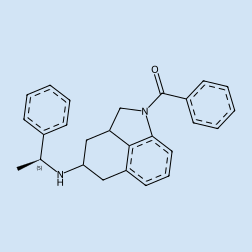 C[C@H](NC1Cc2cccc3c2C(C1)CN3C(=O)c1ccccc1)c1ccccc1